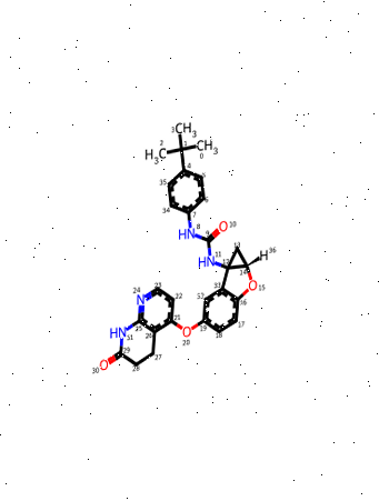 CC(C)(C)c1ccc(NC(=O)NC23C[C@@H]2Oc2ccc(Oc4ccnc5c4CCC(=O)N5)cc23)cc1